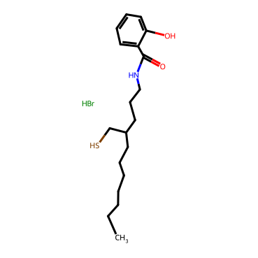 Br.CCCCCCCC(CS)CCCNC(=O)c1ccccc1O